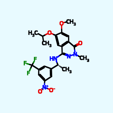 COc1cc2c(=O)n(C)nc(N[C@H](C)c3cc([N+](=O)[O-])cc(C(F)(F)F)c3)c2cc1OC(C)C